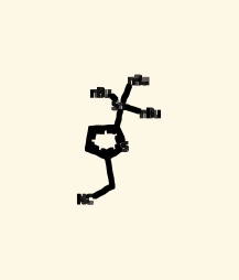 CCC[CH2][Sn]([CH2]CCC)([CH2]CCC)[c]1ccc(CC#N)s1